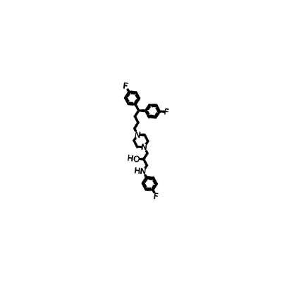 OC(CNc1ccc(F)cc1)CN1CCN(CCCC(c2ccc(F)cc2)c2ccc(F)cc2)CC1